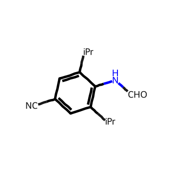 CC(C)c1cc(C#N)cc(C(C)C)c1NC=O